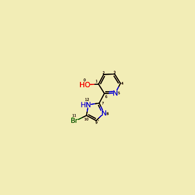 Oc1cccnc1-c1n[c]c(Br)[nH]1